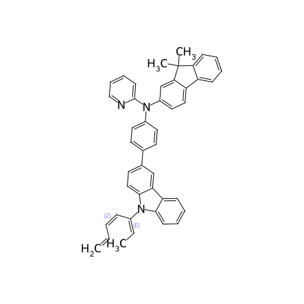 C=C/C=C\C(=C/C)n1c2ccccc2c2cc(-c3ccc(N(c4ccc5c(c4)C(C)(C)c4ccccc4-5)c4ccccn4)cc3)ccc21